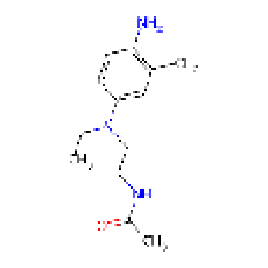 CCN(CCNC(C)=O)c1ccc(N)c(C)c1